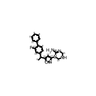 CC(c1ccc(-c2ccccc2)c(F)c1)c1cc(N2CNCN=C2N)no1